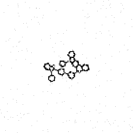 c1ccc(-n2c(-c3ccc(-c4cccc(-c5nc6ccccc6c6cc7c8ccccc8n(-c8ccccc8)c7cc56)c4)cc3)nc3ccccc32)cc1